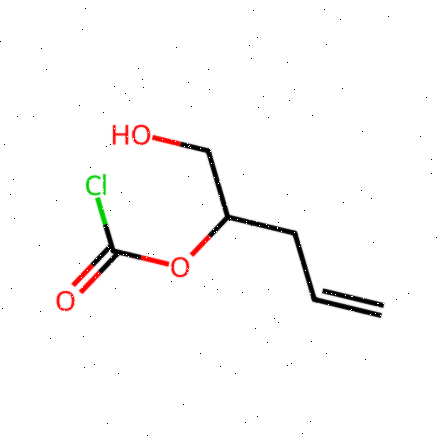 C=CCC(CO)OC(=O)Cl